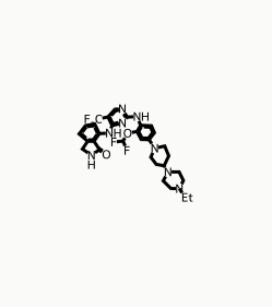 CCN1CCN(C2CCN(c3ccc(Nc4ncc(C(F)(F)F)c(Nc5cccc6c5C(=O)NC6)n4)c(OC(F)F)c3)CC2)CC1